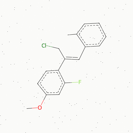 COc1ccc(C(=Cc2ccccc2C)CCl)c(F)c1